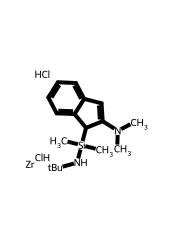 CN(C)C1=Cc2ccccc2C1[Si](C)(C)NC(C)(C)C.Cl.Cl.[Zr]